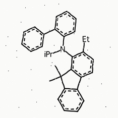 CCc1ccc2c(c1N(c1ccccc1-c1ccccc1)C(C)C)C(C)(C)c1ccccc1-2